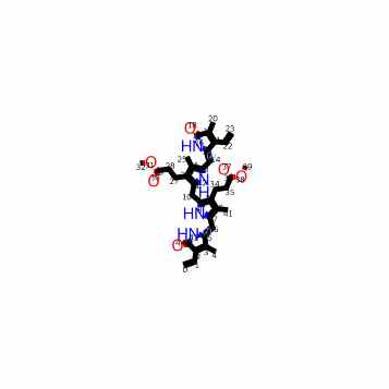 C=CC1=C(C)/C(=C/c2[nH]c(Cc3[nH]c(/C=C4\NC(=O)C(C)=C4C=C)c(C)c3CCC(=O)OC)c(CCC(=O)OC)c2C)NC1=O